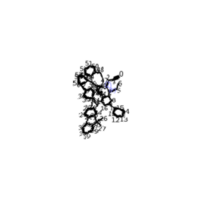 C#C/C=C\C(=C/C)c1cc(-c2ccccc2)cc(N(c2ccc3c(c2)C(C)(C)c2ccccc2-3)c2ccc3c(c2)C2(c4ccccc4CCc4ccccc42)c2ccccc2-3)c1